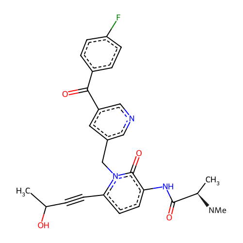 CN[C@H](C)C(=O)Nc1ccc(C#CC(C)O)n(Cc2cncc(C(=O)c3ccc(F)cc3)c2)c1=O